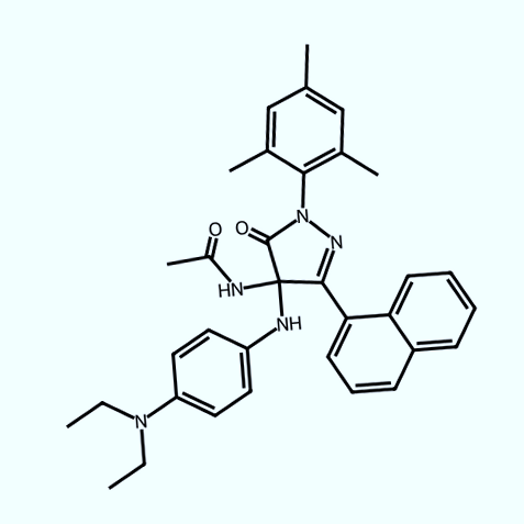 CCN(CC)c1ccc(NC2(NC(C)=O)C(=O)N(c3c(C)cc(C)cc3C)N=C2c2cccc3ccccc23)cc1